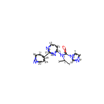 CC(C)N(C(=O)n1ccnc1)c1ccnc(-c2ccncc2)n1